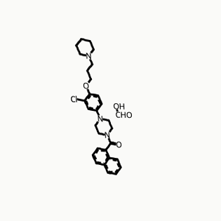 O=C(c1cccc2ccccc12)N1CCN(c2ccc(OCCCN3CCCCC3)c(Cl)c2)CC1.O=CO